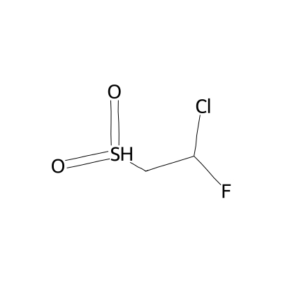 O=[SH](=O)CC(F)Cl